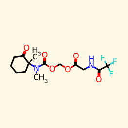 CN(C(=O)OCOC(=O)CNC(=O)C(F)(F)F)[C@]1(C)CCCCC1=O